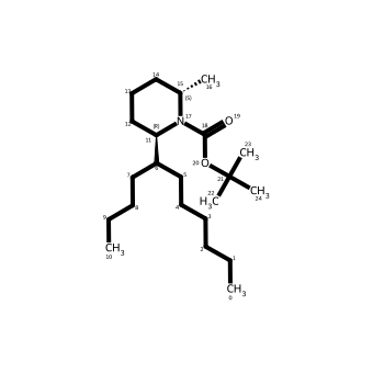 CCCCCCC(CCCC)[C@H]1CCC[C@H](C)N1C(=O)OC(C)(C)C